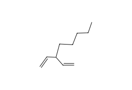 C=CC(C=C)CCCCC